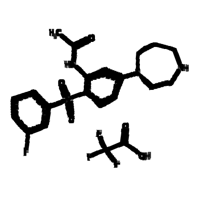 CC(=O)Nc1cc(N2CCCNCC2)ccc1S(=O)(=O)c1cccc(F)c1.O=C(O)C(F)(F)F